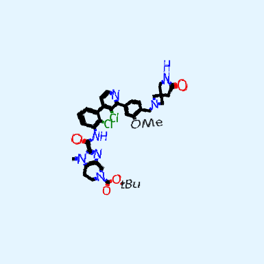 COc1cc(-c2nccc(-c3cccc(NC(=O)c4nc5c(n4C)CCN(C(=O)OC(C)(C)C)C5)c3Cl)c2Cl)ccc1CN1CC2(CNC(=O)C2)C1